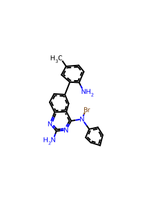 Cc1ccc(N)c(-c2ccc3nc(N)nc(N(Br)c4ccccc4)c3c2)c1